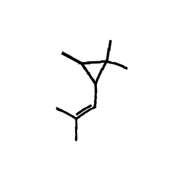 C[C]1C(C=C(C)C)C1(C)C